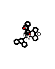 C1=Cc2oc3cccc(-c4cccc5oc6ccccc6c45)c3c2C(c2nc(-c3ccccc3)nc(-c3cc4ccccc4c4ccccc34)n2)C1